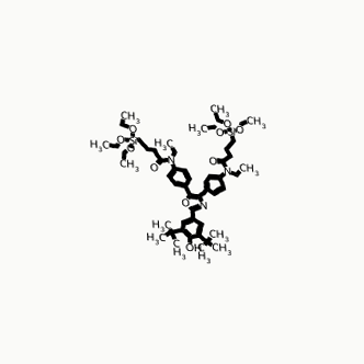 CCO[Si](CCCC(=O)N(CC)c1ccc(-c2nc(-c3cc(C(C)(C)C)c(O)c(C(C)(C)C)c3)oc2-c2ccc(N(CC)C(=O)CCC[Si](OCC)(OCC)OCC)cc2)cc1)(OCC)OCC